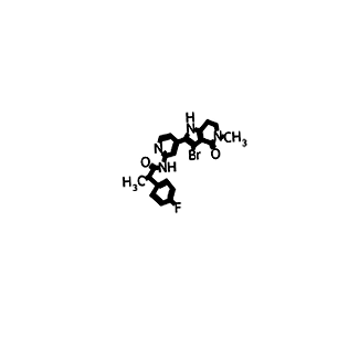 CC(C(=O)Nc1cc(-c2[nH]c3c(c2Br)C(=O)N(C)CC3)ccn1)c1ccc(F)cc1